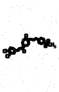 CS(=O)(=O)N1CCN(CCCN2CCN(C(=O)/C=C/c3ccc(Cl)c(Cl)c3)CCC2=O)CC1